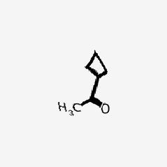 CC(=O)C1C[CH]C1